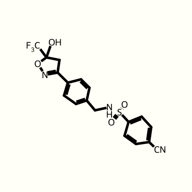 N#Cc1ccc(S(=O)(=O)NCc2ccc(C3=NOC(O)(C(F)(F)F)C3)cc2)cc1